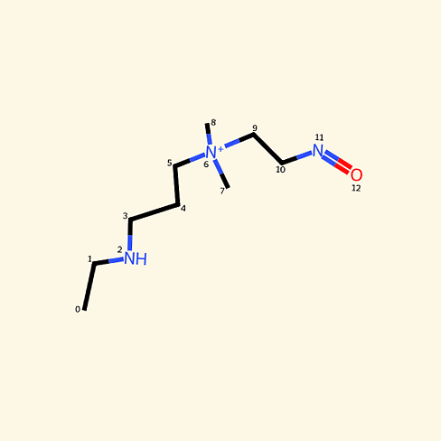 CCNCCC[N+](C)(C)CCN=O